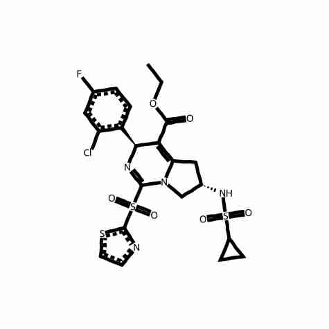 CCOC(=O)C1=C2C[C@H](NS(=O)(=O)C3CC3)CN2C(S(=O)(=O)c2nccs2)=N[C@H]1c1ccc(F)cc1Cl